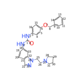 O=C(Nc1ccc(OCc2ccccc2)cc1)Nc1ccc2cnn(CCN3CCCC3)c2c1